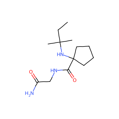 CCC(C)(C)NC1(C(=O)NCC(N)=O)CCCC1